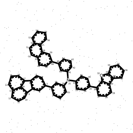 c1cc(-c2ccc3c(c2)-c2cccc4cccc-3c24)cc(N(c2ccc(-c3cccc4c3oc3ccccc34)cc2)c2cccc(-c3ccc4ccc5ccccc5c4c3)c2)c1